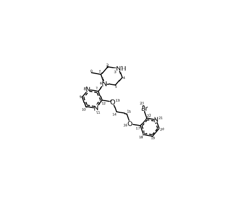 CC1CNCCN1c1nccnc1OCCOc1cccnc1Br